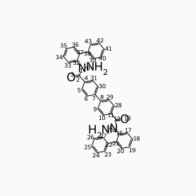 NN(C(=O)c1ccc(-c2ccc(C(=O)N(N)c3ccccc3-c3ccccc3)cc2)cc1)c1ccccc1-c1ccccc1